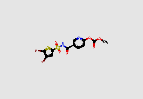 COC(=O)Oc1ccc(C(=O)NS(=O)(=O)c2cc(Br)c(Br)s2)cn1